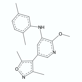 COc1ncc(-c2c(C)noc2C)cc1Nc1cc(C)ccc1C